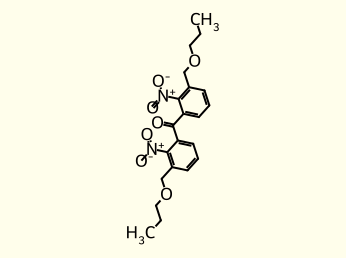 CCCOCc1cccc(C(=O)c2cccc(COCCC)c2[N+](=O)[O-])c1[N+](=O)[O-]